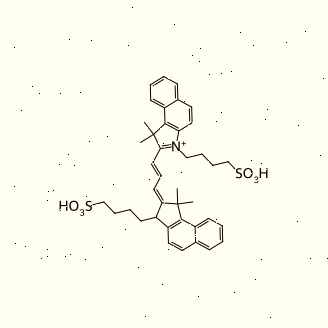 CC1(C)C(=CC=CC2=[N+](CCCCS(=O)(=O)O)c3ccc4ccccc4c3C2(C)C)C(CCCCS(=O)(=O)O)c2ccc3ccccc3c21